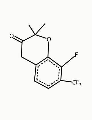 CC1(C)Oc2c(ccc(C(F)(F)F)c2F)CC1=O